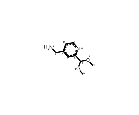 COC(OC)c1cc(CN)ccn1